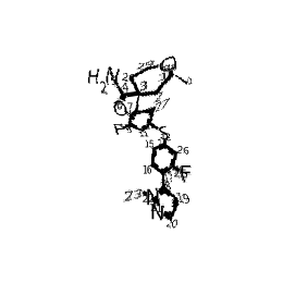 C[C@H]1C[C@@](C(N)=O)(c2cc(F)cc(Sc3ccc(-c4ccnn4C)c(F)c3)c2)CCO1